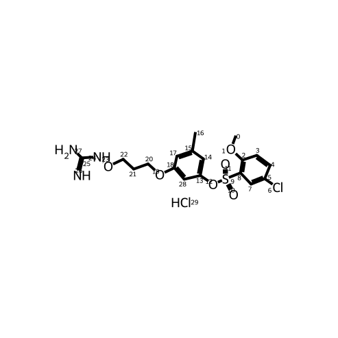 COc1ccc(Cl)cc1S(=O)(=O)Oc1cc(C)cc(OCCCONC(=N)N)c1.Cl